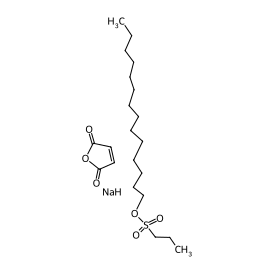 CCCCCCCCCCCCCCOS(=O)(=O)CCC.O=C1C=CC(=O)O1.[NaH]